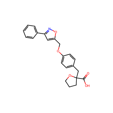 O=C(O)C1(Cc2ccc(OCc3cc(-c4ccccc4)no3)cc2)CCCO1